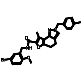 COc1ccc(Br)cc1CNC(=O)c1oc2c(c1C)-c1nn(Cc3ccc(C)cc3)cc1CC2